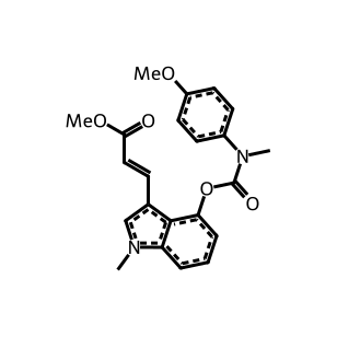 COC(=O)/C=C/c1cn(C)c2cccc(OC(=O)N(C)c3ccc(OC)cc3)c12